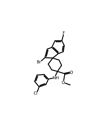 COC(=O)C1(Nc2cccc(Cl)c2)CCC2(CC1)C(Br)=Cc1cc(F)ccc12